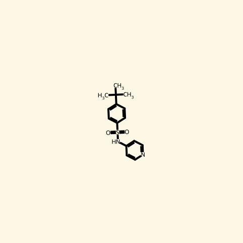 CC(C)(C)c1ccc(S(=O)(=O)Nc2ccncc2)cc1